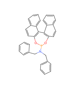 c1ccc(CN(Cc2ccccc2)p2oc3ccc4ccccc4c3c3c(ccc4ccccc43)o2)cc1